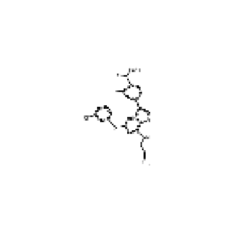 CNC(=O)c1ccc(-c2cnc3c(NCCC(F)(F)F)cc(Oc4cccc(Cl)c4)cn23)cc1C